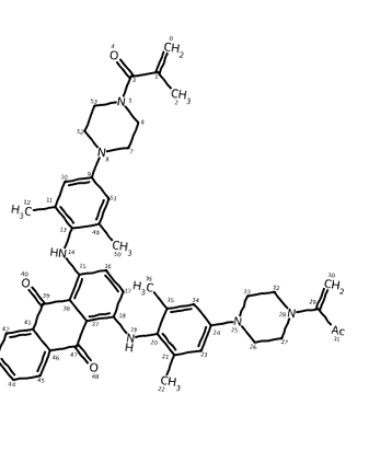 C=C(C)C(=O)N1CCN(c2cc(C)c(Nc3ccc(Nc4c(C)cc(N5CCN(C(=C)C(C)=O)CC5)cc4C)c4c3C(=O)c3ccccc3C4=O)c(C)c2)CC1